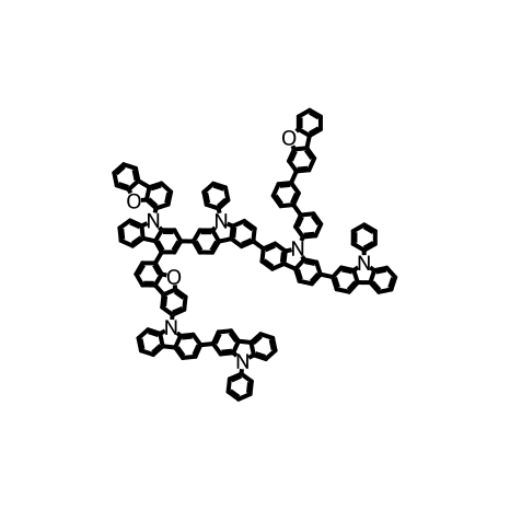 c1ccc(-n2c3ccccc3c3ccc(-c4ccc5c6ccccc6n(-c6ccc7oc8c(-c9cc(-c%10ccc%11c%12cc(-c%13ccc%14c%15ccc(-c%16ccc%17c%18ccccc%18n(-c%18ccccc%18)c%17c%16)cc%15n(-c%15cccc(-c%16cccc(-c%17ccc%18c(c%17)oc%17ccccc%17%18)c%16)c%15)c%14c%13)ccc%12n(-c%12ccccc%12)c%11c%10)cc%10c9c9ccccc9n%10-c9cccc%10c9oc9ccccc9%10)cccc8c7c6)c5c4)cc32)cc1